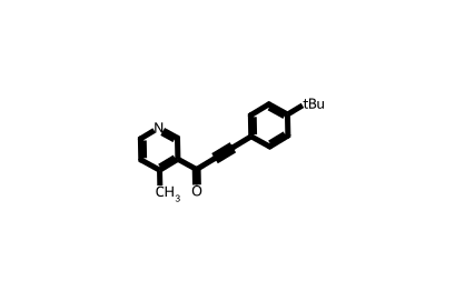 Cc1ccncc1C(=O)C#Cc1ccc(C(C)(C)C)cc1